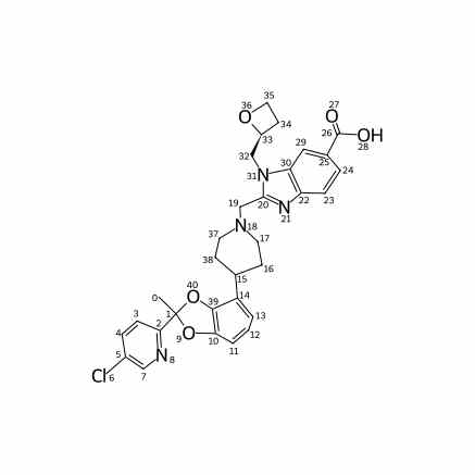 CC1(c2ccc(Cl)cn2)Oc2cccc(C3CCN(Cc4nc5ccc(C(=O)O)cc5n4C[C@@H]4CCO4)CC3)c2O1